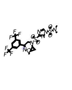 CO/N=C(\CN(C1CC1)S(=O)(=O)c1ncn(S(=O)(=O)N(C)C)n1)c1cc(C(F)(F)F)cc(C(F)(F)F)c1